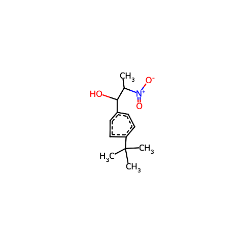 CC(C(O)c1ccc(C(C)(C)C)cc1)[N+](=O)[O-]